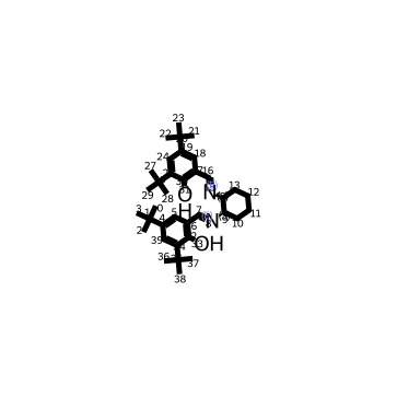 CC(C)(C)c1cc(/C=N/[C@H]2CCCC[C@@H]2/N=C/c2cc(C(C)(C)C)cc(C(C)(C)C)c2O)c(O)c(C(C)(C)C)c1